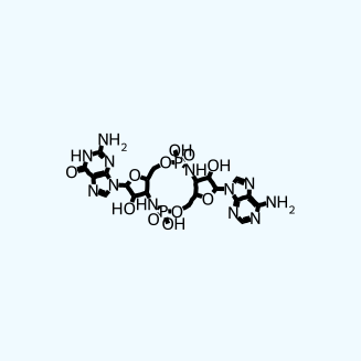 Nc1nc2c(ncn2C2OC3COP(=O)(O)NC4C(COP(=O)(O)NC3C2O)OC(n2cnc3c(N)ncnc32)C4O)c(=O)[nH]1